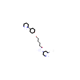 O=C(CCCCCOc1ccc(-c2ccccn2)cc1)Nc1ccnc(C(F)(F)F)c1